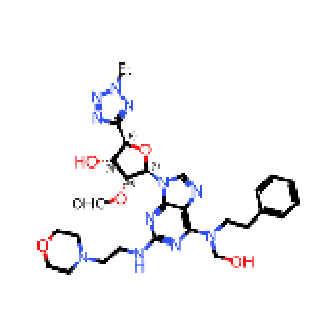 CCn1nnc([C@H]2O[C@@H](n3cnc4c(N(CO)CCc5ccccc5)nc(NCCN5CCOCC5)nc43)[C@H](OC=O)[C@@H]2O)n1